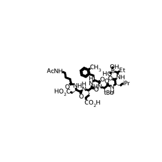 CCC(NC(=O)[C@H](CC(C)C)NC(=O)[C@@H](NC(=O)[C@H](Cc1ccccc1C)NC(=O)[C@H](CCC(=O)O)NC(=O)[C@H](CC(=O)O)NC(=O)CCCNC(C)=O)C(C)(C)C)B(O)O